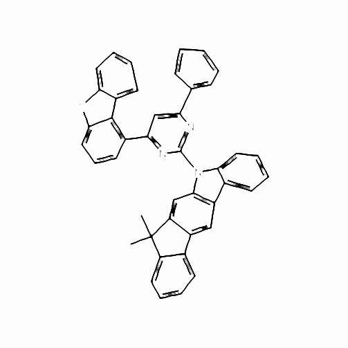 CC1(C)c2ccccc2-c2cc3c4ccccc4n(-c4nc(-c5ccccc5)cc(-c5cccc6sc7ccccc7c56)n4)c3cc21